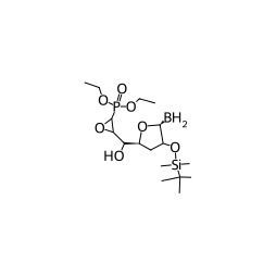 B[C@@H]1O[C@H](C(O)C2OC2P(=O)(OCC)OCC)CC1O[Si](C)(C)C(C)(C)C